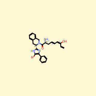 C=C/C(O)=C\C=C\C[C@H](N)C(=O)N1Cc2ccccc2C[C@H]1c1nc(-c2ccccc2)c(Br)[nH]1